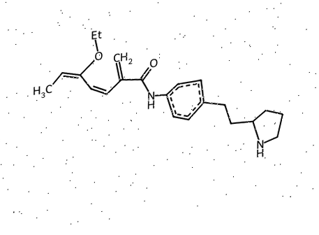 C=C(/C=C\C(=C/C)OCC)C(=O)Nc1ccc(CCC2CCCN2)cc1